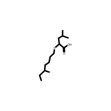 CCC(F)CCCCSC(CC(C)C)C(=O)O